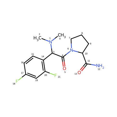 CN(C)C(C(=O)N1CCCC1C(N)=O)c1ccc(F)cc1F